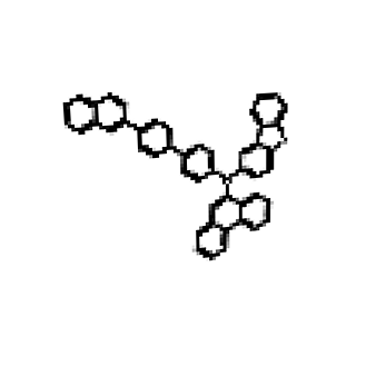 c1ccc2cc(-c3ccc(-c4ccc(N(c5ccc6sc7ccccc7c6c5)c5cc6ccccc6c6ccccc56)cc4)cc3)ccc2c1